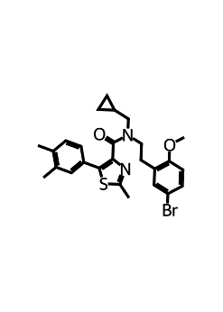 COc1ccc(Br)cc1CCN(CC1CC1)C(=O)c1nc(C)sc1-c1ccc(C)c(C)c1